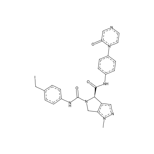 Cn1ncc2c1CN(C(=O)Nc1ccc(CI)cc1)[C@H]2C(=O)Nc1ccc(-n2ccncc2=O)cc1